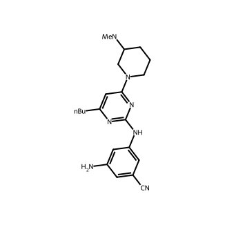 CCCCc1cc(N2CCCC(NC)C2)nc(Nc2cc(N)cc(C#N)c2)n1